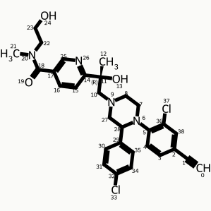 C#Cc1ccc(N2CCN(C[C@@](C)(O)c3ccc(C(=O)N(C)CCO)cn3)CC2c2ccc(Cl)cc2)c(Cl)c1